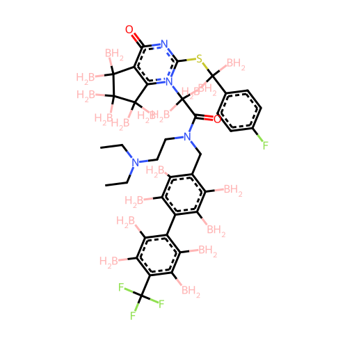 Bc1c(B)c(-c2c(B)c(B)c(C(F)(F)F)c(B)c2B)c(B)c(B)c1CN(CCN(CC)CC)C(=O)C(B)(B)n1c(SC(B)(B)c2ccc(F)cc2)nc(=O)c2c1C(B)(B)C(B)(B)C2(B)B